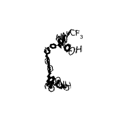 Cn1c(=O)n([C@H]2CCC(=O)NC2=O)c2ccc(CCCOCCOCCC3CCN(C[C@H]4CC[C@H](c5cn([C@H]6CC[C@H](O)CC6)c6nc(NCCC(F)(F)F)ncc65)CC4)CC3)cc21